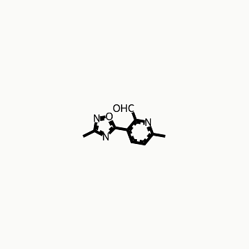 Cc1ccc(-c2nc(C)no2)c(C=O)n1